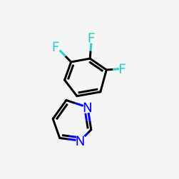 Fc1cccc(F)c1F.c1cncnc1